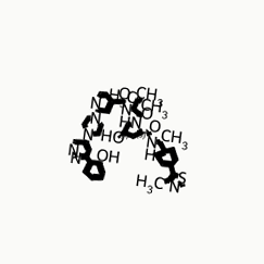 Cc1ncsc1-c1ccc(C(C)NC(=O)[C@@H]2C[C@@H](O)CN2C(=O)C(NC(=O)c2ccnc(N3CCN(c4cnnc(-c5ccccc5O)c4)CC3)c2)C(C)(C)C)cc1